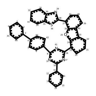 c1ccc(-c2ccc(-c3nc(-c4ccccc4)nc(-c4cccc5c4oc4c(-c6nc7ccccc7s6)cccc45)n3)cc2)cc1